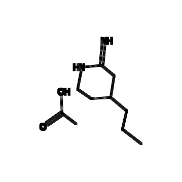 CC(=O)O.CCCC1CCNC(=N)C1